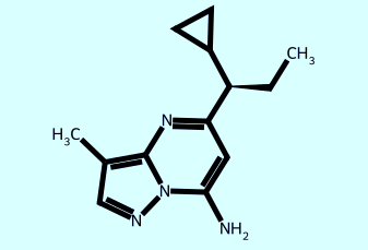 CC[C@@H](c1cc(N)n2ncc(C)c2n1)C1CC1